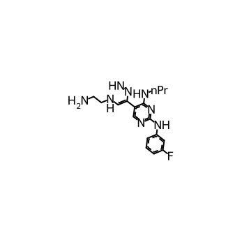 CCCNc1nc(Nc2cccc(F)c2)ncc1/C(=C/NCCN)N=N